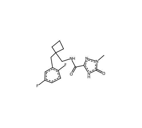 Cn1nc(C(=O)NCC2(Cc3cc(F)ccc3F)CCC2)[nH]c1=O